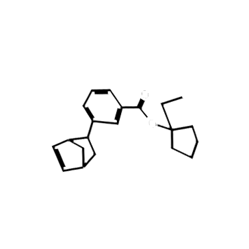 CCC1(OC(=O)c2cccc(C3CC4C=CC3C4)c2)CCCC1